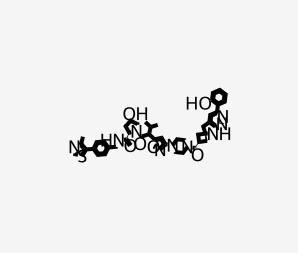 Cc1ncsc1-c1ccc(CNC(=O)[C@@H]2C[C@@H](O)CN2C(=O)C(c2cc(N3CCN(C(=O)[C@H]4C[C@]5(Cc6cc(-c7ccccc7O)nnc6N5)C4)CC3)no2)C(C)C)cc1